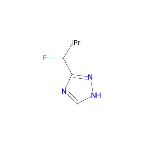 CC(C)C(F)c1nc[nH]n1